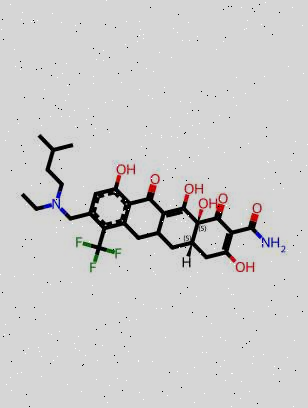 CCN(CCC(C)C)Cc1cc(O)c2c(c1C(F)(F)F)CC1C[C@H]3CC(O)=C(C(N)=O)C(=O)[C@@]3(O)C(O)=C1C2=O